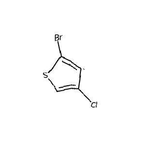 Clc1[c]c(Br)sc1